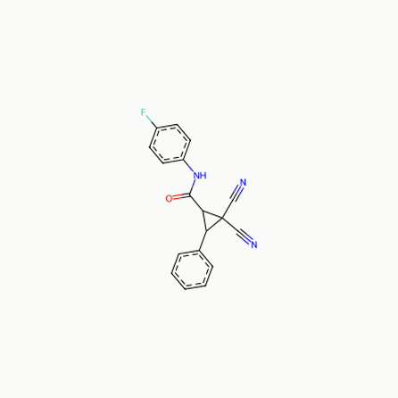 N#CC1(C#N)C(C(=O)Nc2ccc(F)cc2)C1c1ccccc1